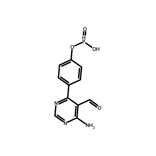 Nc1ncnc(-c2ccc(O[PH](=O)O)cc2)c1C=O